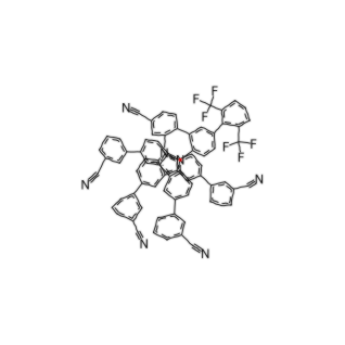 N#Cc1cccc(-c2ccc3c(c2)c2cc(-c4cccc(C#N)c4)ccc2n3-c2ccc(-c3c(C(F)(F)F)cccc3C(F)(F)F)cc2-c2ccc(C#N)cc2-n2c3ccc(-c4cccc(C#N)c4)cc3c3cc(-c4cccc(C#N)c4)ccc32)c1